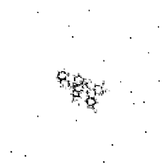 CCC[C@H]1N(C(=O)c2ncccc2C(F)(F)F)CCC[C@]1(Oc1csc(C(F)(F)F)c1)C(=O)N1Cc2ccc(Cl)cc2C[C@@H]1CN(C)C(=O)CC